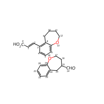 O=C(O)C=Cc1cccc2c1CCCCO2.O=CC1CCOc2ccccc2C1